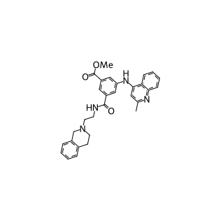 COC(=O)c1cc(Nc2cc(C)nc3ccccc23)cc(C(=O)NCCN2CCc3ccccc3C2)c1